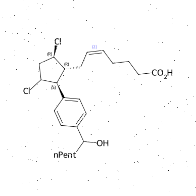 CCCCCC(O)c1ccc([C@H]2C(Cl)C[C@@H](Cl)[C@@H]2C/C=C\CCCC(=O)O)cc1